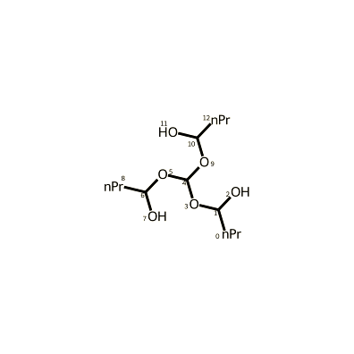 CCCC(O)OC(OC(O)CCC)OC(O)CCC